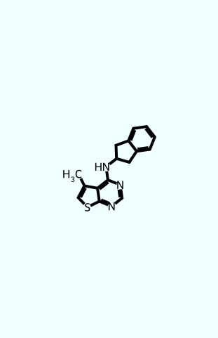 Cc1csc2ncnc(NC3Cc4ccccc4C3)c12